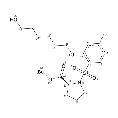 Cc1ccc(S(=O)(=O)N2CCC[C@H]2C(=O)OC(C)(C)C)c(OCCCCCCO)c1